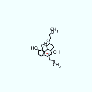 C=CCN1CC[C@]23c4c5ccc(O)c4O[C@H]2[C@@H](OCCOC)CC[C@@]3(O)C1C5